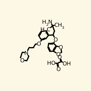 CC(C)(N)CC(Oc1cccc2c1OCO2)c1cccc(OCCCN2CCOCC2)c1.O=C(O)C(=O)O